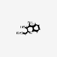 CSCC1Oc2ccccc2C(N)C1O